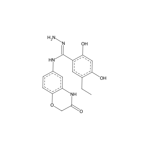 CCc1cc(/C(=N/N)Nc2ccc3c(c2)NC(=O)CO3)c(O)cc1O